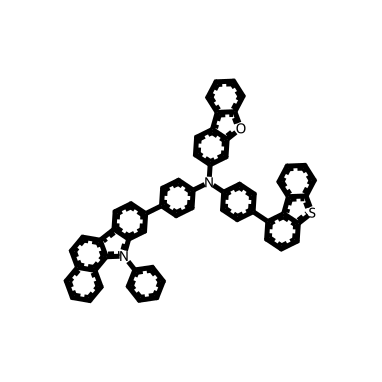 c1ccc(-n2c3cc(-c4ccc(N(c5ccc(-c6cccc7sc8ccccc8c67)cc5)c5ccc6c(c5)oc5ccccc56)cc4)ccc3c3ccc4ccccc4c32)cc1